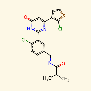 CC(C)C(=O)NCc1ccc(Cl)c(-c2nc(-c3ccsc3Cl)cc(=O)[nH]2)c1